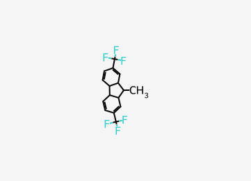 CC1C2C=C(C(F)(F)F)C=CC2C2C=CC(C(F)(F)F)=CC12